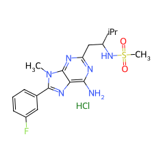 CC(C)C(Cc1nc(N)c2nc(-c3cccc(F)c3)n(C)c2n1)NS(C)(=O)=O.Cl